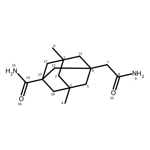 CC12CC3(C)CC(CC(N)=O)(C1)CC(C(N)=O)(C2)C3